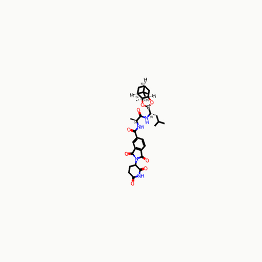 CC(C)C[C@H](NC(=O)[C@H](C)NC(=O)c1ccc2c(c1)C(=O)N(C1CCC(=O)NC1=O)C2=O)B1O[C@@H]2C[C@@H]3C[C@@H](C3(C)C)[C@]2(C)O1